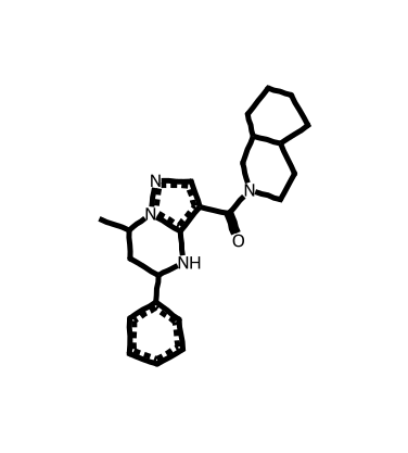 CC1CC(c2ccccc2)Nc2c(C(=O)N3CCC4CCCCC4C3)cnn21